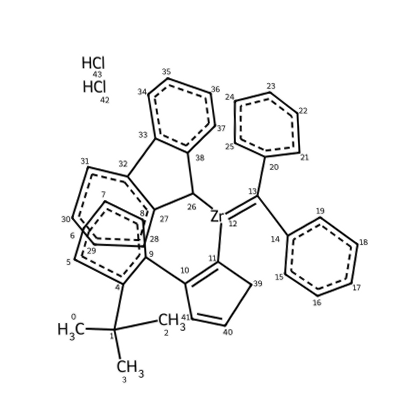 CC(C)(C)c1ccccc1C1=[C]([Zr](=[C](c2ccccc2)c2ccccc2)[CH]2c3ccccc3-c3ccccc32)CC=C1.Cl.Cl